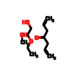 C=CCC(=O)CC=C.CCOCCO.CO